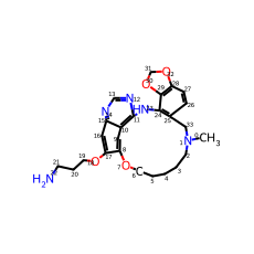 CN1CCCCCOc2cc3c(ncnc3cc2OCCCN)Nc2c(ccc3c2OCO3)C1